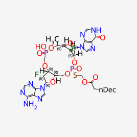 CCCCCCCCCCCC(=O)OCSP1(=O)OC[C@H]2O[C@@H](n3cnc4c(N)ncnc43)[C@H](F)[C@@H]2OCP(=O)(O)O[C@@H](C)[C@H]2O[C@@H](n3cnc4c(=O)[nH]cnc43)[C@H](O1)[C@@H]2F